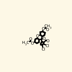 CC(=O)Oc1ccc2c(c1)Oc1cc(OC(C)=O)ccc1C21OC(=O)c2c1ccc(Cl)c2Cl